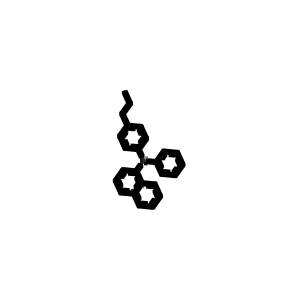 CCCc1ccc(N(c2ccccc2)c2cccc3ccccc23)cc1